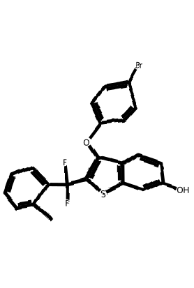 Cc1ccccc1C(F)(F)c1sc2cc(O)ccc2c1Oc1ccc(Br)cc1